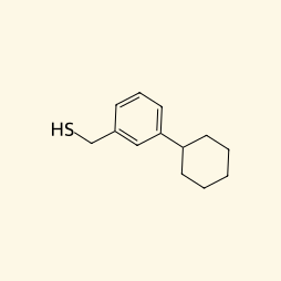 SCc1cccc(C2CCCCC2)c1